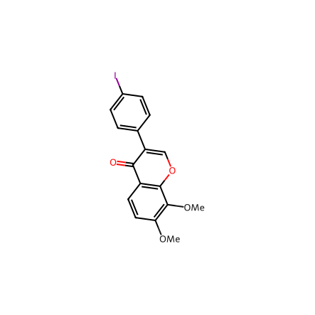 COc1ccc2c(=O)c(-c3ccc(I)cc3)coc2c1OC